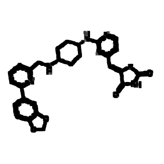 O=C1NC(=O)/C(=C/c2ccnc(N[C@H]3CC[C@H](NCc4cccc(-c5ccc6c(c5)OCO6)n4)CC3)n2)S1